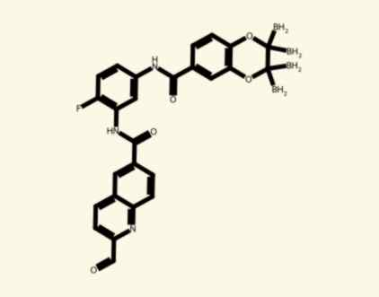 BC1(B)Oc2ccc(C(=O)Nc3ccc(F)c(NC(=O)c4ccc5nc(C=O)ccc5c4)c3)cc2OC1(B)B